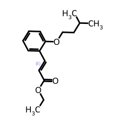 CCOC(=O)/C=C/c1ccccc1OCCC(C)C